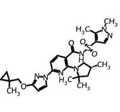 Cc1c(S(=O)(=O)NC(=O)c2ccc(-n3ccc(OCC4(C)CC4)n3)nc2N2C[C@@H](C)CC2(C)C)cnn1C